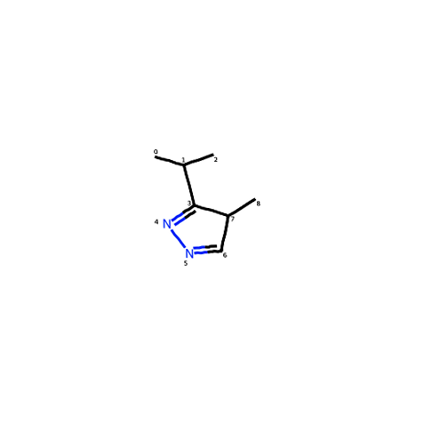 CC(C)C1=NN=CC1C